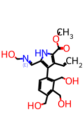 C=Cc1c(C(=O)OC)[nH]c(/C=N/CO)c1-c1ccc(CO)c(CO)c1CO